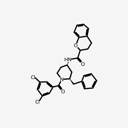 O=C(N[C@H]1CCN(C(=O)c2cc(Cl)cc(Cl)c2)[C@H](Cc2ccccc2)C1)C1CCc2ccccc2O1